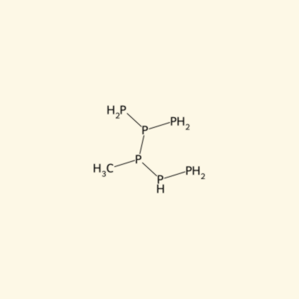 CP(PP)P(P)P